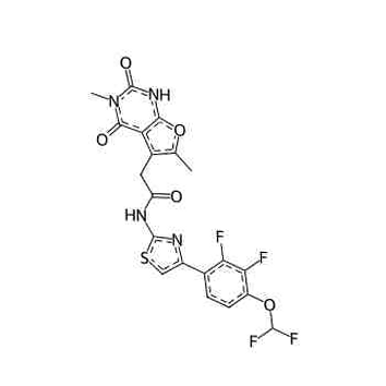 Cc1oc2[nH]c(=O)n(C)c(=O)c2c1CC(=O)Nc1nc(-c2ccc(OC(F)F)c(F)c2F)cs1